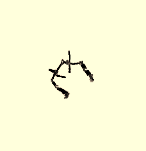 [CH3][Sn]([CH3])([N]=C=S)[O][Sn]([CH3])([CH3])[N]=C=S